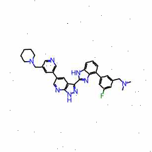 CN(C)Cc1cc(F)cc(-c2cccc3[nH]c(-c4n[nH]c5ncc(-c6cncc(CN7CCCCC7)c6)cc45)nc23)c1